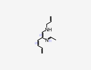 C=C\C=C/C(=C/NCC=C)/N=C/C